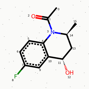 CC(=O)N1c2ccc(F)cc2[C@@H](O)C[C@@H]1C